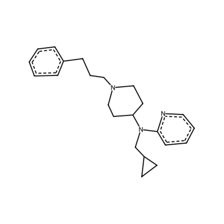 c1ccc(CCCN2CCC(N(CC3CC3)c3ccccn3)CC2)cc1